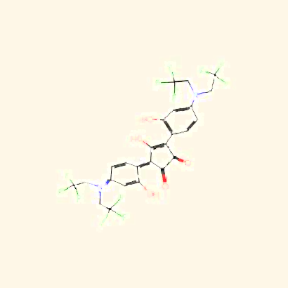 O=C1C(=O)/C(=C2/C=CC(=[N+](CC(F)(F)F)CC(F)(F)F)C=C2O)C(O)=C1c1ccc(N(CC(F)(F)F)CC(F)(F)F)cc1O